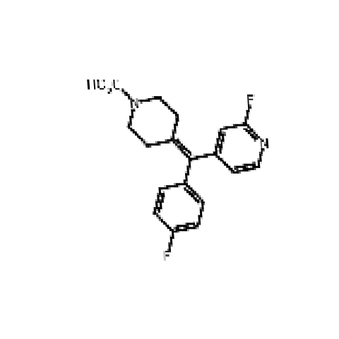 O=C(O)N1CCC(=C(c2ccc(F)cc2)c2ccnc(F)c2)CC1